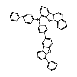 c1ccc(-c2ccc(N(c3ccc(-c4ccc5oc6c(-c7ccccc7)cccc6c5c4)cc3)c3cccc4c3sc3c5ccccc5ccc43)cc2)cc1